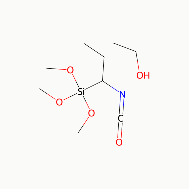 CCC(N=C=O)[Si](OC)(OC)OC.CCO